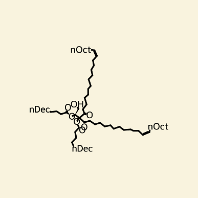 CCCCCCCC/C=C\CCCCCCCCCCCC(=O)C(OC(=O)CCCCCCCCCCCCC)(C(=O)CCCCCCCCCCC/C=C\CCCCCCCC)[C@H](CO)OC(=O)CCCCCCCCCCCCC